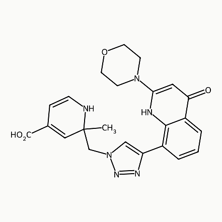 CC1(Cn2cc(-c3cccc4c(=O)cc(N5CCOCC5)[nH]c34)nn2)C=C(C(=O)O)C=CN1